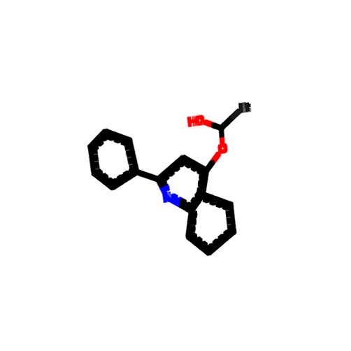 CCC(O)Oc1cc(-c2ccccc2)nc2ccccc12